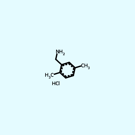 Cc1ccc(C)c(CN)c1.Cl